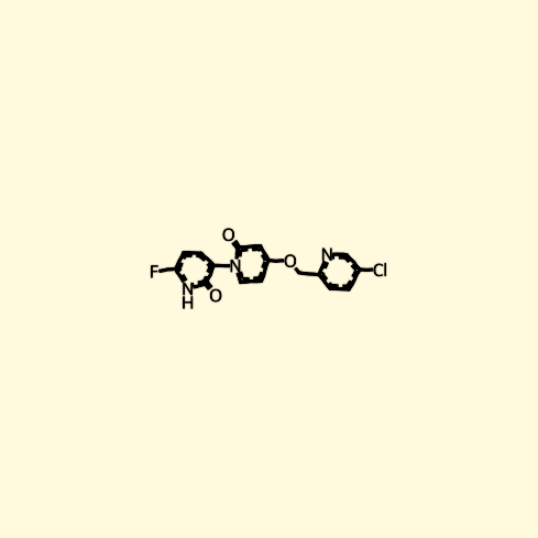 O=c1[nH]c(F)ccc1-n1ccc(OCc2ccc(Cl)cn2)cc1=O